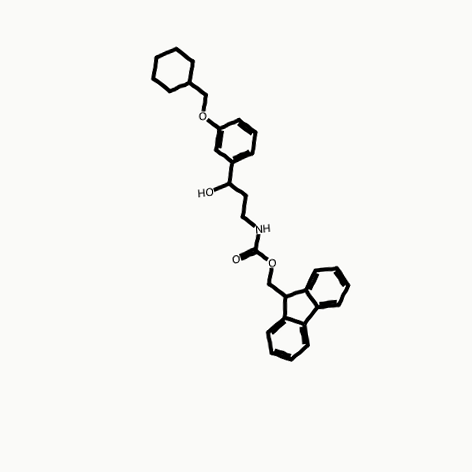 O=C(NCCC(O)c1cccc(OCC2CCCCC2)c1)OCC1c2ccccc2-c2ccccc21